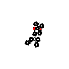 c1ccc2c(c1)Sc1ccccc1C21c2cccc(-c3ccc(N(c4ccc5c(c4)oc4ccccc45)c4cccc5c4sc4ccccc45)cc3)c2-c2c1ccc1ccccc21